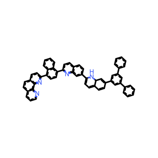 C1=CC2=CC=C(c3ccc4ccc(-c5ccc(-c6ccc7ccc8cccnc8c7n6)c6ccccc56)nc4c3)NC2C=C1c1cc(-c2ccccc2)cc(-c2ccccc2)c1